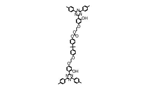 Cc1ccc(-c2nc(-c3ccc(C)cc3)nc(-c3ccc(OCCOC(=O)Oc4ccc(C(C)(C)c5ccc(OCCOc6ccc(-c7nc(-c8ccc(C)cc8)nc(-c8ccc(C)cc8)n7)c(O)c6)cc5)cc4)cc3O)n2)cc1